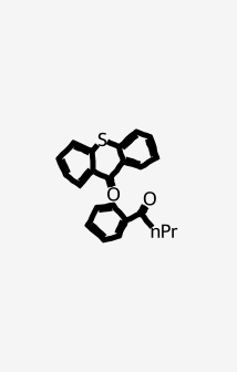 CCCC(=O)c1ccccc1.O=c1c2ccccc2sc2ccccc12